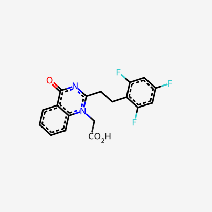 O=C(O)Cn1c(CCc2c(F)cc(F)cc2F)nc(=O)c2ccccc21